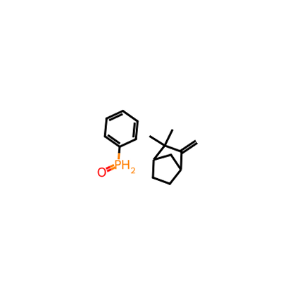 C=C1C2CCC(C2)C1(C)C.O=[PH2]c1ccccc1